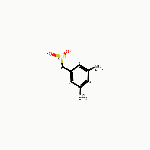 O=C(O)c1cc(C[SH](=O)=O)cc([N+](=O)[O-])c1